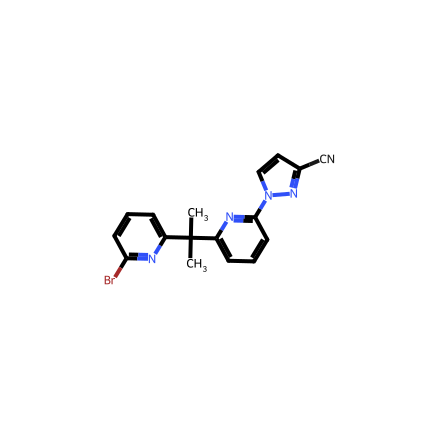 CC(C)(c1cccc(Br)n1)c1cccc(-n2ccc(C#N)n2)n1